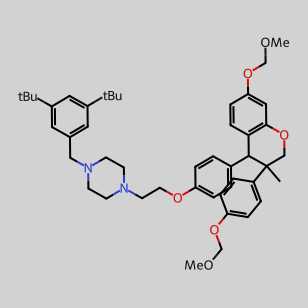 COCOc1ccc(C2(C)COc3cc(OCOC)ccc3C2c2ccc(OCCN3CCN(Cc4cc(C(C)(C)C)cc(C(C)(C)C)c4)CC3)cc2)cc1